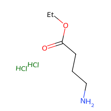 CCOC(=O)CCCN.Cl.Cl